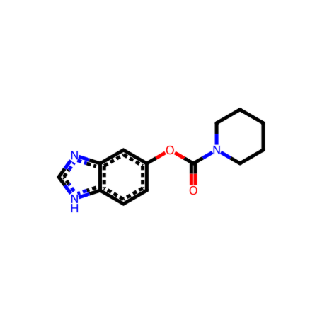 O=C(Oc1ccc2[nH]cnc2c1)N1CCCCC1